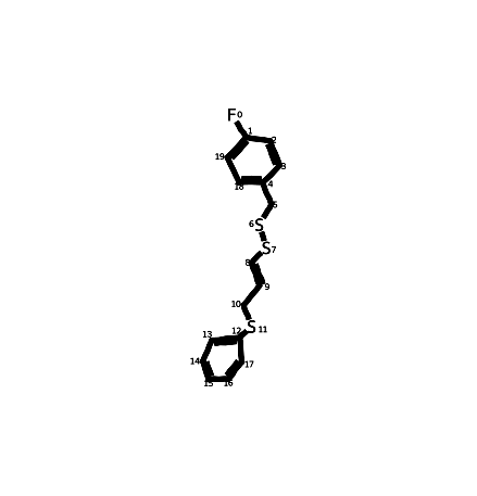 Fc1ccc(CSS/C=C/CSc2ccccc2)cc1